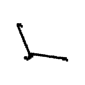 [CH2]Cc1nc(CCCCCCCCCCCCCCCCCCCCCCCCCCCC)cc(CCCCCCCCCCCCCCCCCCCCCCCCCCCC)n1